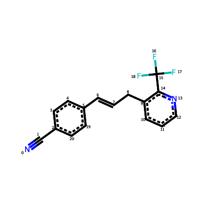 N#Cc1ccc(C=CCc2c[c]cnc2C(F)(F)F)cc1